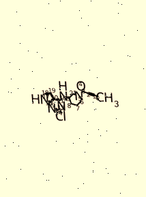 CC#CC(=O)N1CCCC(Nc2nc(Cl)nc3[nH]ccc23)C1